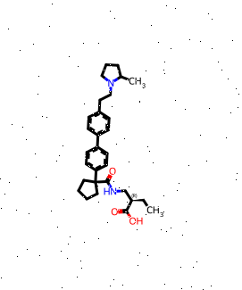 CC[C@H](CNC(=O)C1(c2ccc(-c3ccc(CCN4CCCC4C)cc3)cc2)CCCC1)C(=O)O